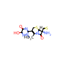 Cn1nc(O)c(=O)nc1C1=C(C(=O)O)N2C(=O)C(N)(C=S)[C@@H]2SC1